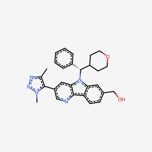 Cc1nnn(C)c1-c1cnc2c3ccc(CO)cc3n([C@H](c3ccccc3)C3CCOCC3)c2c1